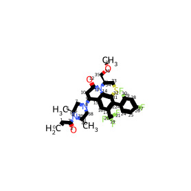 C=CC(=O)N1[C@H](C)CN(C2CC(=O)N3c4c2cc(C(F)(F)F)c(-c2ccc(F)cc2F)c4SC[C@@H]3COC)C[C@@H]1C